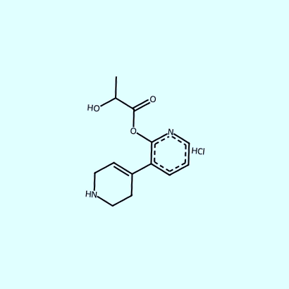 CC(O)C(=O)Oc1ncccc1C1=CCNCC1.Cl